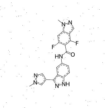 Cn1cc(-c2n[nH]c3ccc(NC(=O)c4c(F)cc5c(cnn5C)c4F)cc23)cn1